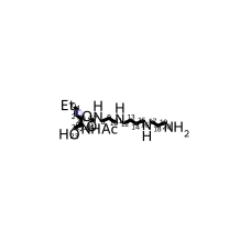 CC/C=C/[C@@H](OC(=O)NCCCNCCCCNCCCN)[C@H](CO)NC(C)=O